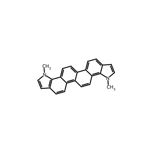 Cn1ccc2ccc3c4ccc5c(ccc6ccn(C)c65)c4ccc3c21